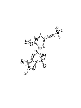 CCOc1ncc(C#C[Si](C)(C)C)cc1-c1nc2c(Br)n(C)nc2c(=O)[nH]1